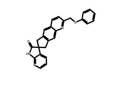 O=C1Nc2ncccc2C12Cc1cc3ccc(COc4ccccc4)nc3cc1C2